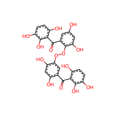 O=C(c1cc(OOc2c(O)cc(O)cc2C(=O)c2c(O)ccc(O)c2O)c(O)cc1O)c1c(O)ccc(O)c1O